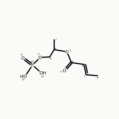 CC=CC(=O)OC(C)COP(=O)(O)O